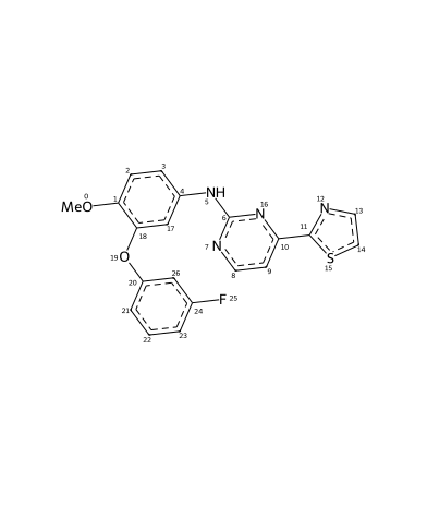 COc1ccc(Nc2nccc(-c3nccs3)n2)cc1Oc1cccc(F)c1